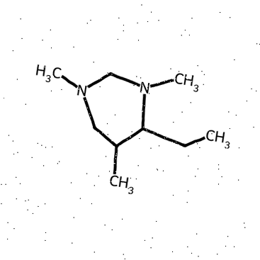 CCC1C(C)CN(C)CN1C